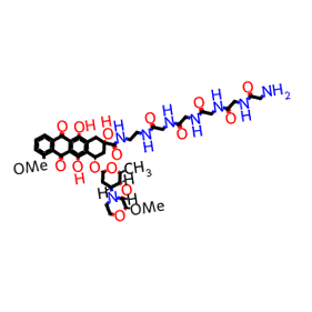 COc1cccc2c1C(=O)c1c(O)c3c(c(O)c1C2=O)C[C@@](O)(C(=O)NCCNC(=O)CNC(=O)CNC(=O)CNC(=O)CNC(=O)CN)C[C@@H]3O[C@H]1C[C@H]2[C@H](O[C@@H]3[C@@H](OC)OCCN32)[C@H](C)O1